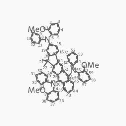 COc1ccccc1N(c1ccccc1)c1ccc2c(c1)C(C)(C)c1cc3c(N(c4ccccc4)c4ccccc4OC)c4ccccc4c(N(c4ccccc4)c4ccccc4OC)c3cc1-2